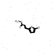 COC(=O)C=Cc1ccc(Cl)s1